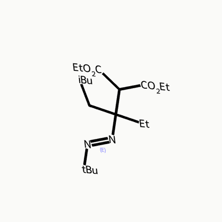 CCOC(=O)C(C(=O)OCC)C(CC)(CC(C)CC)/N=N/C(C)(C)C